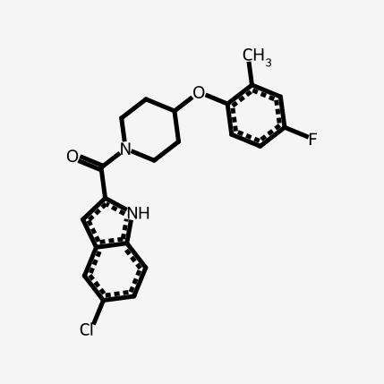 Cc1cc(F)ccc1OC1CCN(C(=O)c2cc3cc(Cl)ccc3[nH]2)CC1